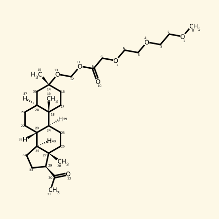 COCCOCCOCC(=O)OCO[C@]1(C)CC[C@@]2(C)[C@@H](CC[C@@H]3[C@@H]2CC[C@]2(C)[C@@H](C(C)=O)CC[C@@H]32)C1